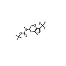 CN(C(=O)OC(C)(C)C)C1COc2c(C(F)(F)F)csc2C1